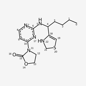 CCCCC(Nc1nccc(N2CCOC2=O)n1)C1=CSCN1